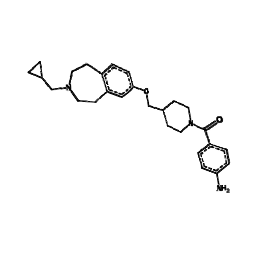 Nc1ccc(C(=O)N2CCC(COc3ccc4c(c3)CCN(CC3CC3)CC4)CC2)cc1